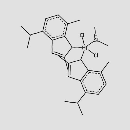 CC1=Cc2c(C(C)C)ccc(C)c2[CH]1[Hf]([Cl])([Cl])([CH]1C(C)=Cc2c(C(C)C)ccc(C)c21)[SiH](C)C